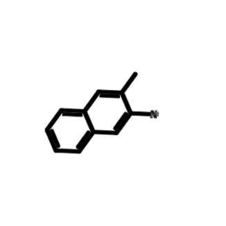 Cc1cc2ccccc2cc1[N]